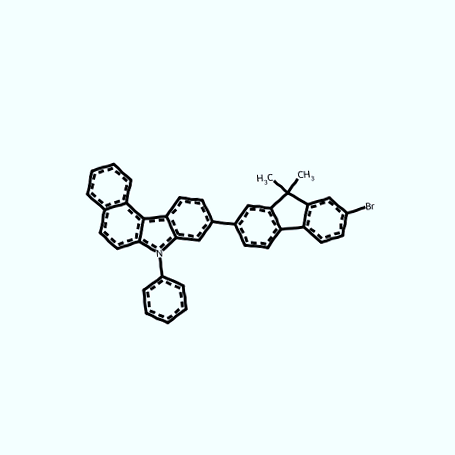 CC1(C)c2cc(Br)ccc2-c2ccc(-c3ccc4c5c6ccccc6ccc5n(-c5ccccc5)c4c3)cc21